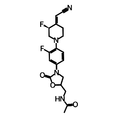 CC(=O)NCC1CN(c2ccc(N3CCC(=CC#N)[C@H](F)C3)c(F)c2)C(=O)O1